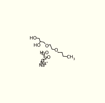 CCCCOCCOCC(O)CO.O.O=[Si]([O-])[O-].[Na+].[Na+]